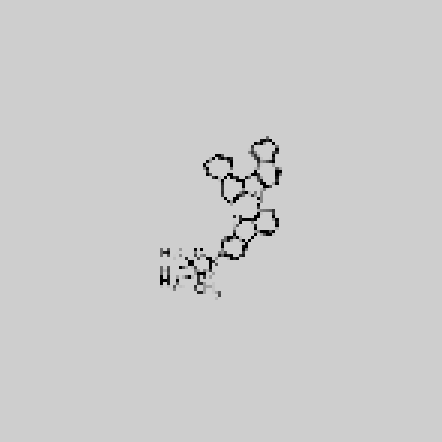 CC1(C)OB(c2ccc3c(c2)oc2c(-n4c5ccc6ccccc6c5c5c6ccccc6ccc54)cccc23)OC1(C)C